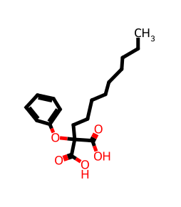 CCCCCCCCCC(Oc1ccccc1)(C(=O)O)C(=O)O